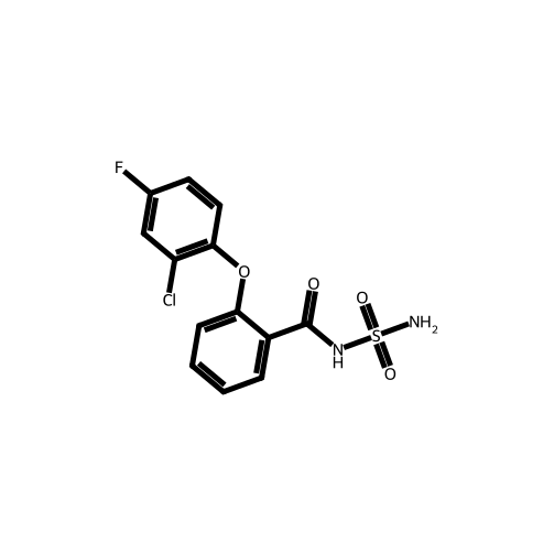 NS(=O)(=O)NC(=O)c1ccccc1Oc1ccc(F)cc1Cl